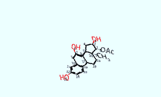 CC(=O)O[C@H]1[C@H](O)CC2C3=C(O)Cc4cc(O)ccc4C3CC[C@@]21C